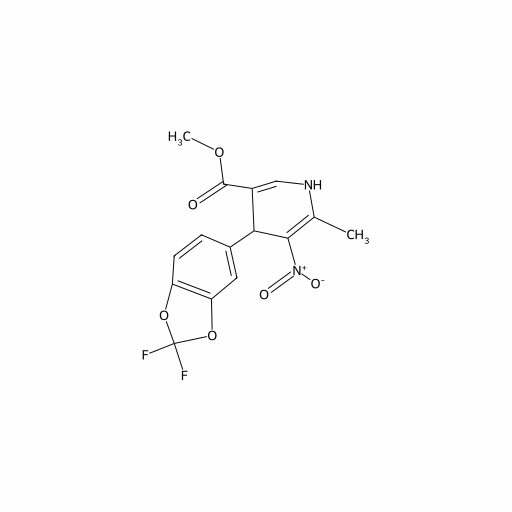 COC(=O)C1=CNC(C)=C([N+](=O)[O-])C1c1ccc2c(c1)OC(F)(F)O2